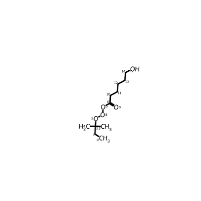 CCC(C)(C)OOOC(=O)CCCCCO